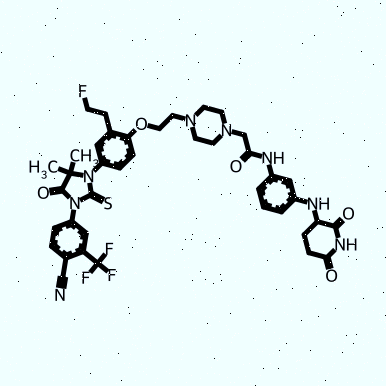 CC1(C)C(=O)N(c2ccc(C#N)c(C(F)(F)F)c2)C(=S)N1c1ccc(OCCN2CCN(CC(=O)Nc3cccc(NC4CCC(=O)NC4=O)c3)CC2)c(CCF)c1